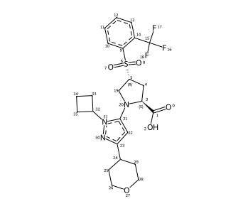 O=C(O)[C@@H]1C[C@@H](S(=O)(=O)c2ccccc2C(F)(F)F)CN1c1cc(C2CCOCC2)nn1C1CCC1